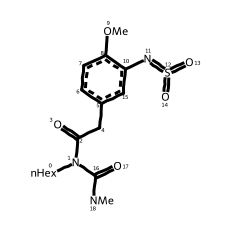 CCCCCCN(C(=O)Cc1ccc(OC)c(N=S(=O)=O)c1)C(=O)NC